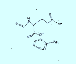 Nc1ccccc1.O=CNC(CCC(=O)O)C(=O)O